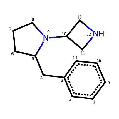 c1ccc(CC2CCCN2C2CNC2)cc1